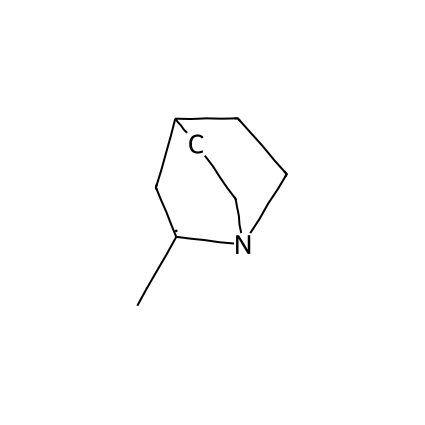 C[C]1CC2CCN1CC2